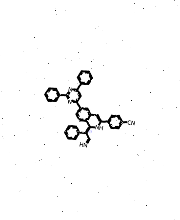 N#Cc1ccc(C2=Cc3cc(-c4cc(-c5ccccc5)nc(-c5ccccc5)n4)ccc3/C(=C(/C=N)c3ccccc3)N2)cc1